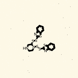 c1ccc2sc(SSC3CNCCN3SSc3nc4ccccc4s3)nc2c1